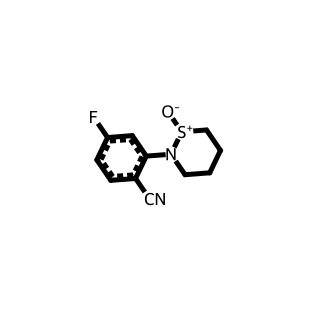 N#Cc1ccc(F)cc1N1CCCC[S+]1[O-]